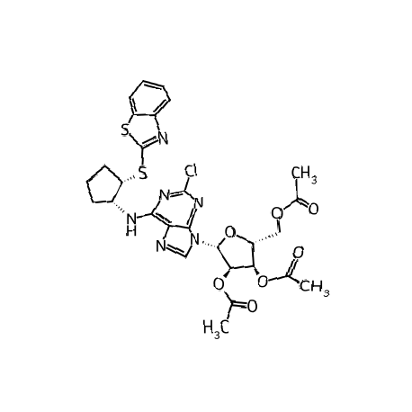 CC(=O)OC[C@H]1O[C@@H](n2cnc3c(N[C@@H]4CCC[C@@H]4Sc4nc5ccccc5s4)nc(Cl)nc32)[C@H](OC(C)=O)[C@@H]1OC(C)=O